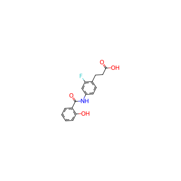 O=C(O)CCc1ccc(NC(=O)c2ccccc2O)cc1F